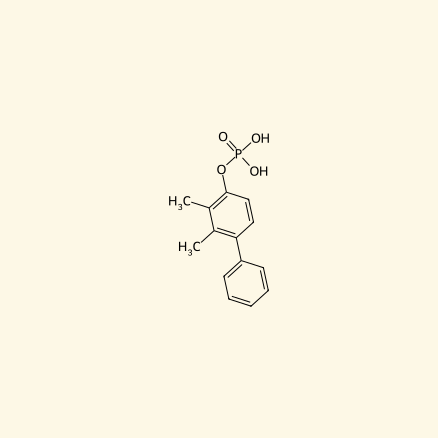 Cc1c(OP(=O)(O)O)ccc(-c2ccccc2)c1C